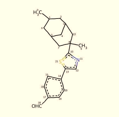 CC1CC2CC(C1)CC(C)(c1ncc(-c3ccc(C=O)cc3)s1)C2